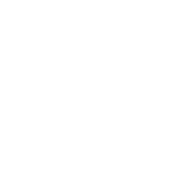 C=C/C=C\c1c(C)c2ccccc2c2c(C)c#ccccc3ccccc3c12